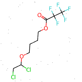 O=C(OCCCCOC(Cl)CCl)C(F)(F)C(F)(F)F